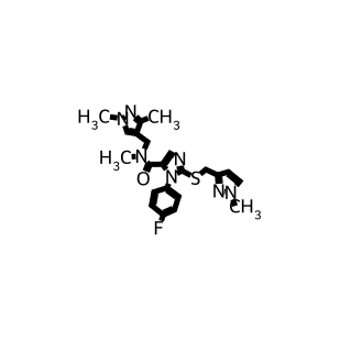 Cc1nn(C)cc1CN(C)C(=O)c1cnc(SCc2ccn(C)n2)n1-c1ccc(F)cc1